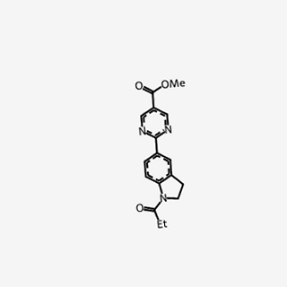 CCC(=O)N1CCc2cc(-c3ncc(C(=O)OC)cn3)ccc21